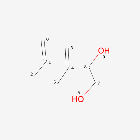 C=CC.C=CC.OCCO